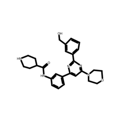 O=C(Nc1cccc(-c2cc(N3CCOCC3)nc(-c3cccc(CO)c3)n2)c1)C1CCNCC1